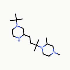 CC1CN(C)CCN1C(C)(C)CCC1CN(C(C)(C)C)CCN1